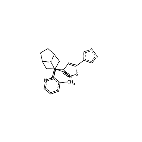 Cc1cccnc1C1(C#N)CC2CCC(C1)N2C(=O)C1C=C(c2cn[nH]c2)SC1